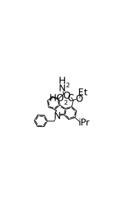 CCOC(C(=O)O)c1cc(C(C)C)cc2c1c1c(C(N)=O)cccc1n2Cc1ccccc1